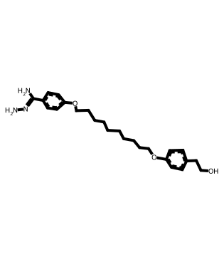 NN=C(N)c1ccc(OCCCCCCCCCCOc2ccc(CCO)cc2)cc1